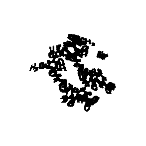 CCc1cc(C(C)=O)c(O)cc1OCCCOc1ccc2c(=O)c3cc(C(=O)[O-])ccc3oc2c1.CCc1cc(C(C)=O)c(O)cc1OCCCOc1ccc2c(=O)c3cc(C(=O)[O-])ccc3oc2c1.[Na+].[Na+]